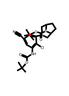 CC(C)(C)OC(=O)Nc1cc(C#N)cc(N2CC3CCC(C2)N3C(=O)OC(C)(C)C)c1Cl